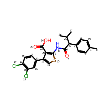 Cc1ccc(C(C(=O)Nc2scc(-c3ccc(Cl)c(Cl)c3)c2C(=O)O)C(C)C)cc1